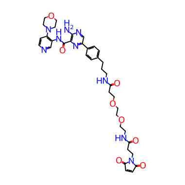 Nc1ncc(-c2ccc(CCCNC(=O)CCOCCOCCNC(=O)CCN3C(=O)C=CC3=O)cc2)nc1C(=O)Nc1cnccc1N1CCOCC1